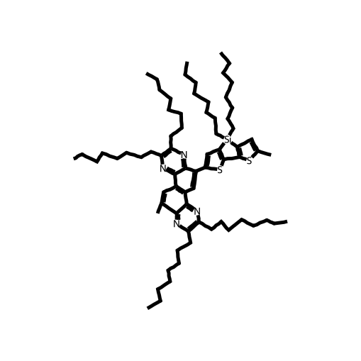 CCCCCCCCc1nc2c(C)cc3c(cc(-c4cc5c(s4)-c4sc(C)cc4[Si]5(CCCCCCCC)CCCCCCCC)c4nc(CCCCCCCC)c(CCCCCCCC)nc43)c2nc1CCCCCCCC